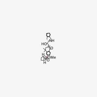 CO[C@H]1C[C@H]2CC[C@@H](C1)N2C(=O)c1ccc2c(c1)C(C)(C)CN(C[C@H](O)[C@@H]1Cc3ccccc3CN1)C2=O